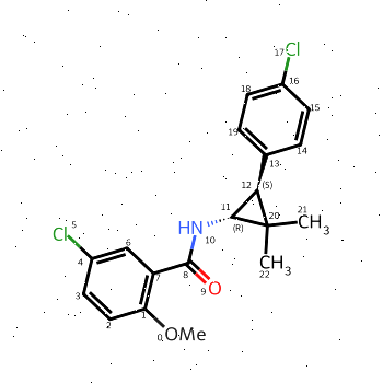 COc1ccc(Cl)cc1C(=O)N[C@@H]1[C@@H](c2ccc(Cl)cc2)C1(C)C